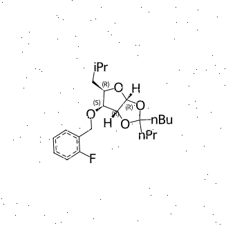 CCCCC1(CCC)O[C@H]2O[C@H](CC(C)C)[C@H](OCc3ccccc3F)[C@H]2O1